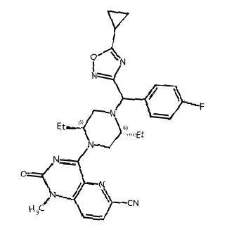 CC[C@H]1CN(C(c2ccc(F)cc2)c2noc(C3CC3)n2)[C@H](CC)CN1c1nc(=O)n(C)c2ccc(C#N)nc12